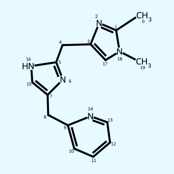 Cc1nc(Cc2nc(Cc3ccccn3)c[nH]2)cn1C